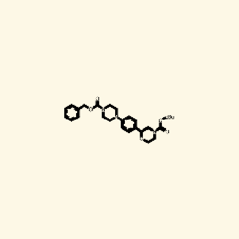 CC(C)(C)OC(=O)N1CCOC(c2ccc(N3CCN(C(=O)OCc4ccccc4)CC3)cc2)C1